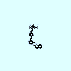 C(=Cc1nnn[nH]1)c1ccc(CCc2cccc(OCc3ccc4ccccc4n3)c2)cc1